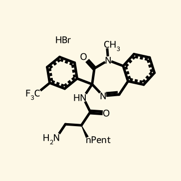 Br.CCCCC[C@@H](CN)C(=O)NC1(c2cccc(C(F)(F)F)c2)N=Cc2ccccc2N(C)C1=O